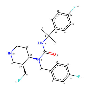 CC(C)(NC(=O)N(Cc1ccc(F)cc1)[C@@H]1CCNC[C@@H]1CF)c1ccc(F)cc1